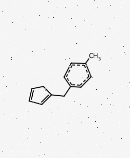 Cc1ccc(CC2=CC=CC2)cc1